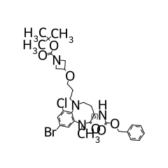 CN1C(=O)[C@@H](NC(=O)OCc2ccccc2)CCN(CCCOC2CN(C(=O)OC(C)(C)C)C2)c2c(Cl)cc(Br)cc21